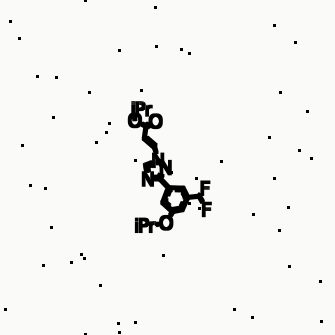 CC(C)OC(=O)/C=C/n1cnc(-c2cc(OC(C)C)cc(C(F)F)c2)n1